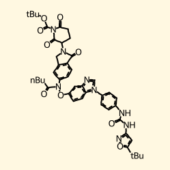 CCCCC(=O)N(Oc1ccc2c(c1)ncn2-c1ccc(NC(=O)Nc2cc(C(C)(C)C)on2)cc1)c1ccc2c(c1)CN(C1CCC(=O)N(C(=O)OC(C)(C)C)C1=O)C2=O